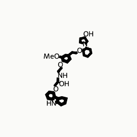 COc1cc(CCO[C@H]2CCCC[C@H]2N2CCC(O)C2)ccc1OCCNC[C@@H](O)COc1cccc2[nH]c3ccccc3c12